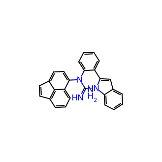 N=C(N)N(c1ccccc1-c1cc2ccccc2[nH]1)c1ccc2c3c(cccc13)C=C2